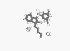 CCCCCC1[C]([Ti+3])=C([SiH2]c2cc(C)cc(C)c2)c2ccccc21.[Cl-].[Cl-].[Cl-]